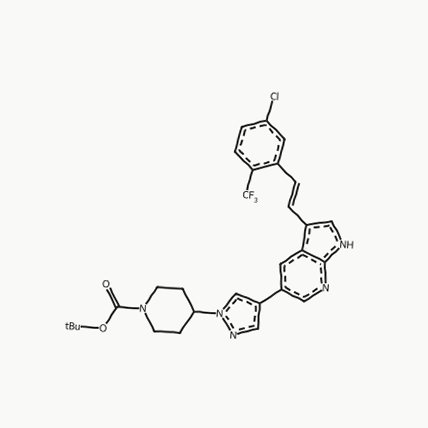 CC(C)(C)OC(=O)N1CCC(n2cc(-c3cnc4[nH]cc(C=Cc5cc(Cl)ccc5C(F)(F)F)c4c3)cn2)CC1